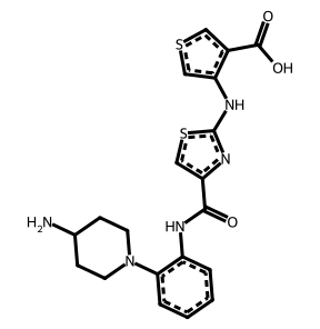 NC1CCN(c2ccccc2NC(=O)c2csc(Nc3cscc3C(=O)O)n2)CC1